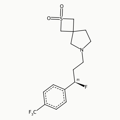 O=S1(=O)CC2(CCN(CC[C@@H](F)c3ccc(C(F)(F)F)cc3)C2)C1